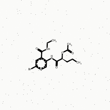 CCC[C@H](OC(C)=O)C(=O)Nc1cnc(Br)cc1C(=O)NCC